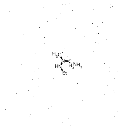 CCNN(C)C.N